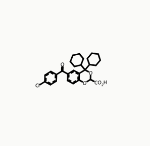 O=C(c1ccc(Cl)cc1)c1ccc2c(c1)C(C1CCCCC1)(C1CCCCC1)OC(C(=O)O)O2